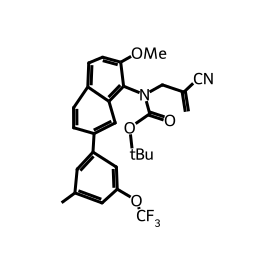 C=C(C#N)CN(C(=O)OC(C)(C)C)c1c(OC)ccc2ccc(-c3cc(C)cc(OC(F)(F)F)c3)cc12